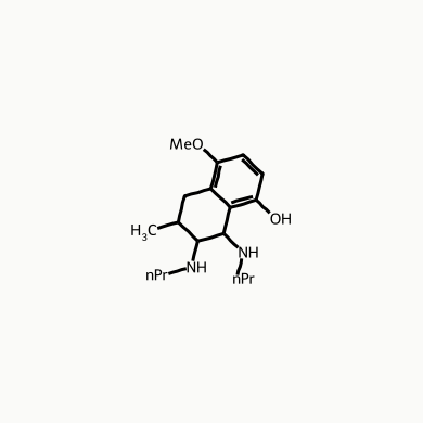 CCCNC1c2c(O)ccc(OC)c2CC(C)C1NCCC